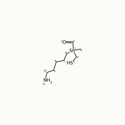 [CH3][Sn]([CH]=O)([CH2]S)[CH2]CCCCN